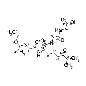 CCOC(C)SCC(=O)NC(CCCC(=O)C(C)C)C(=O)NCC(=O)NCC(=O)O